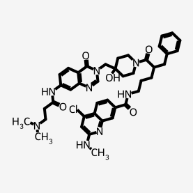 CNc1cc(Cl)c2ccc(C(=O)NCCCC(Cc3ccccc3)C(=O)N3CCC(O)(Cn4cnc5cc(NC(=O)CCN(C)C)ccc5c4=O)CC3)cc2n1